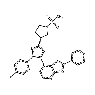 CS(=O)(=O)N1CC[C@H](n2cc(-c3ncnc4oc(-c5ccccc5)cc34)c(-c3ccc(F)cc3)n2)C1